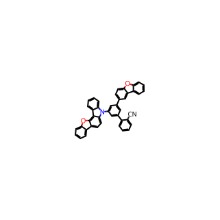 N#Cc1ccccc1-c1cc(-c2ccc3oc4ccccc4c3c2)cc(-n2c3ccccc3c3c4oc5ccccc5c4ccc32)c1